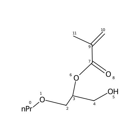 [CH2]CCOCC(CO)OC(=O)C(=C)C